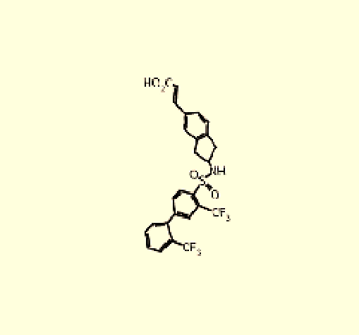 O=C(O)/C=C/c1ccc2c(c1)CC(NS(=O)(=O)c1ccc(-c3ccccc3C(F)(F)F)cc1C(F)(F)F)C2